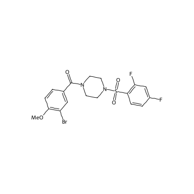 COc1ccc(C(=O)N2CCN(S(=O)(=O)c3ccc(F)cc3F)CC2)cc1Br